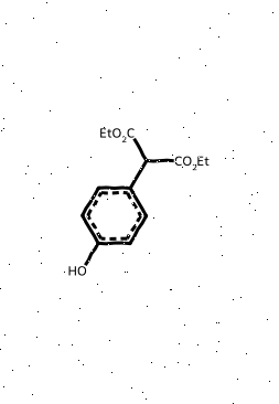 CCOC(=O)C(C(=O)OCC)c1ccc(O)cc1